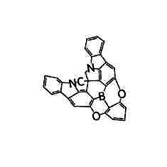 c1cc2c3c(c1)Oc1cc4c5ccccc5n5c4c4c1B3c1c(cc3c6ccccc6n6c3c1C4(C6)C5)O2